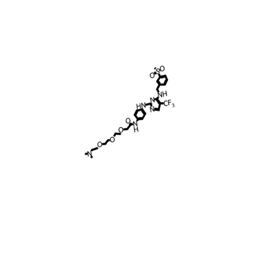 CN(C)CCOCCOCCOCC(=O)Nc1ccc(Nc2ncc(C(F)(F)F)c(NCc3cccc(S(C)(=O)=O)c3)n2)cc1